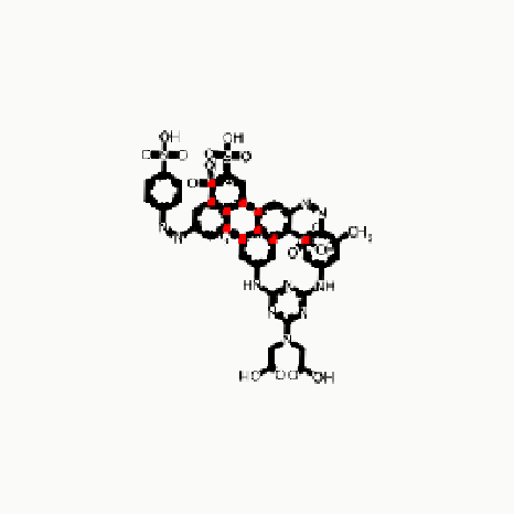 Cc1cc(Nc2nc(Nc3ccc(/N=N\c4ccc(/N=N\c5ccc(S(=O)(=O)O)cc5)cc4S(=O)(=O)O)c(C)c3)nc(N(CC(=O)O)CC(=O)O)n2)ccc1/N=N\c1ccc(/N=N\c2ccc(S(=O)(=O)O)cc2)cc1S(=O)(=O)O